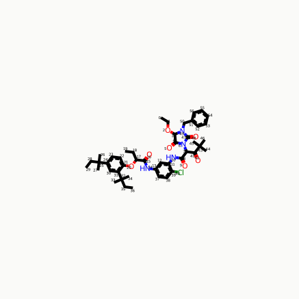 CCOC1C(=O)N(C(C(=O)Nc2cc(NC(=O)C(CC)Oc3ccc(C(C)(C)CC)cc3C(C)(C)CC)ccc2Cl)C(=O)C(C)(C)C)C(=O)N1Cc1ccccc1